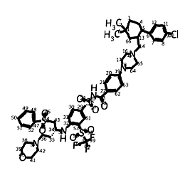 CC1(C)CCC(c2ccc(Cl)cc2)C(CN2CCN(c3ccc(C(=O)NS(=O)(=O)c4ccc(N[C@H](CCN5CCOCC5)CS(=O)(=O)c5ccccc5)c(S(=O)(=O)C(F)(F)F)c4)cc3)CC2)C1